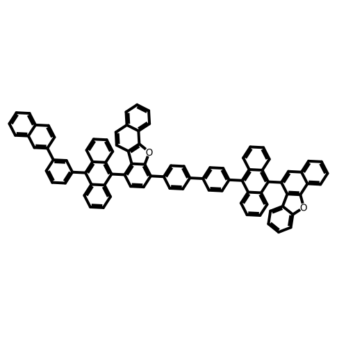 c1cc(-c2ccc3ccccc3c2)cc(-c2c3ccccc3c(-c3ccc(-c4ccc(-c5ccc(-c6c7ccccc7c(-c7cc8ccccc8c8oc9ccccc9c78)c7ccccc67)cc5)cc4)c4oc5c6ccccc6ccc5c34)c3ccccc23)c1